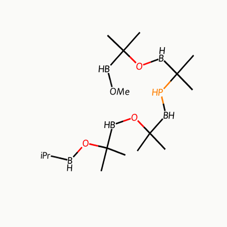 COBC(C)(C)OBC(C)(C)PBC(C)(C)OBC(C)(C)OBC(C)C